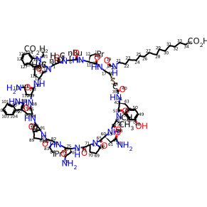 CCCC[C@H]1C(=O)N(C)[C@@H](CCCC)C(=O)N[C@@H](CC(C)C)C(=O)N[C@H](C(=O)NCCCCCCCCCCCCCCC(=O)O)CSCC(=O)N[C@@H](Cc2ccc(O)cc2)C(=O)N(C)[C@@H](C)C(=O)N[C@@H](CC(N)=O)C(=O)N2CCCC2C(=O)N[C@@H](CCN)C(=O)N[C@@H](CC(C)C)C(=O)N2CCC[C@H]2C(=O)N[C@@H](Cc2c[nH]c3ccccc23)C(=O)N[C@@H](CCN)C(=O)N[C@@H](Cc2cn(CC(=O)O)c3ccccc23)C(=O)N1C